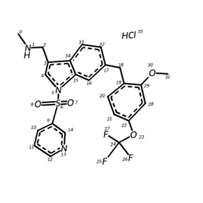 CNCc1cn(S(=O)(=O)c2cccnc2)c2cc(Cc3ccc(OC(F)(F)F)cc3OC)ccc12.Cl